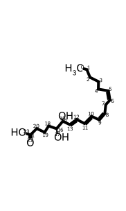 CCCCC/C=C\C\C=C/C=C/C=C/[C@@H](O)[C@@H](O)CCCC(=O)O